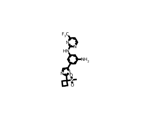 CS(=O)(=O)C1(c2ncc(-c3cc(N)cc(Nc4nccc(C(F)(F)F)n4)c3)s2)CCC1